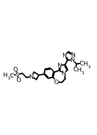 CC(C)n1ncnc1-c1cn2c(n1)-c1ccc(C3CN(CCS(C)(=O)=O)C3)cc1OCC2